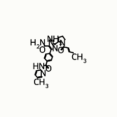 CCC=CC(=O)N1CCCC1c1nc(-c2ccc(C(=O)Nc3ccc(C)cn3)cc2)c(C(N)=O)n1N